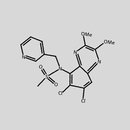 COc1nc2cc(Cl)c(Cl)c(N(Cc3cccnc3)S(C)(=O)=O)c2nc1OC